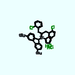 CC(C)(C)c1ccc2c(c1)-c1cc(C(C)(C)C)ccc1[CH]2[Zr]([C]1=CC=CC1)=[C](Cc1ccccc1Cl)Cc1ccccc1Cl.Cl.Cl